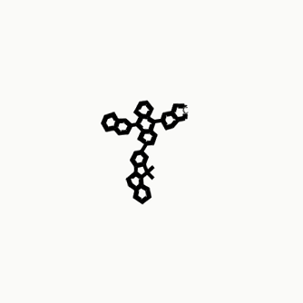 CC1(C)c2cc(-c3ccc4c(-c5ccc6ccccc6c5)c5ccccc5c(-c5ccc6ccccc6c5)c4c3)ccc2-c2ccc3ccccc3c21